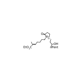 CCCCCC(O)CC[C@H]1CCC(=O)[C@@H]1CCCCC=C(C)C(=O)OCC